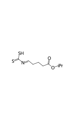 CC(C)OC(=O)CCCC=NC(=S)S